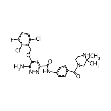 CC1(C)CN(C(=O)c2ccc(NC(=O)c3cc(OCc4c(Cl)ccc(F)c4Cl)c(N)nn3)cc2)CCN1